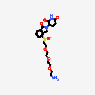 NCCOCCOCCOCC[S+]([O-])c1cccc2c1CN(C1CCC(=O)NC1=O)C2=O